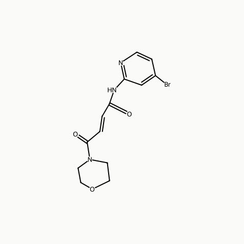 O=C(C=CC(=O)N1CCOCC1)Nc1cc(Br)ccn1